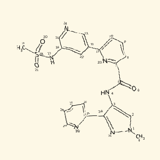 Cn1cc(NC(=O)c2cccc(-c3cncc(NS(C)(=O)=O)c3)n2)c(-c2ccccn2)n1